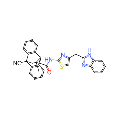 CC1(C(=O)Nc2nc(Cc3nc4ccccc4[nH]3)cs2)CC2(C#N)c3ccccc3C1c1ccccc12